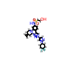 O=S(=O)(CCO)Nc1ccc(-c2cn(-c3cnn(C4CCC(F)(F)CC4)c3)nn2)c(N2CCC3(CC2)CC3)c1